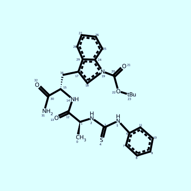 C[C@H](NC(=S)Nc1ccccc1)C(=O)N[C@@H](Cc1cn(C(=O)OC(C)(C)C)c2ccccc12)C(N)=O